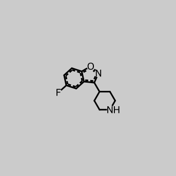 Fc1ccc2onc(C3CCNCC3)c2c1